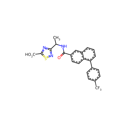 CC(NC(=O)c1ccc2c(-c3ccc(C(F)(F)F)cc3)cccc2c1)c1nsc(C(=O)O)n1